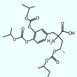 CCC(C)OC(=O)O[C@@H](C)CC(N)(Cc1ccc(OC(=O)OC(C)C)c(OC(=O)OC(C)C)c1)C(=O)O